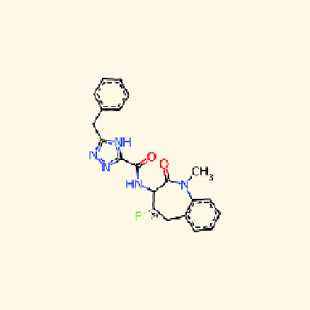 CN1C(=O)C(NC(=O)c2nnc(Cc3ccccc3)[nH]2)[C@@H](F)Cc2ccccc21